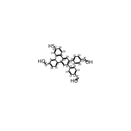 OSc1ccc(-c2cc(-c3ccc(SO)cc3)c(-c3ccc(SO)cc3)cc2-c2ccc(S)cc2)cc1